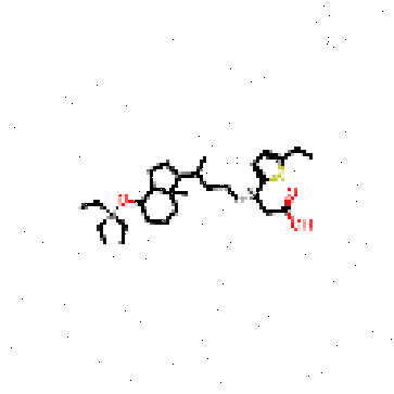 CCc1ccc([C@@H](CCCC(C)C2CCC3C(O[Si](CC)(CC)CC)CCCC23C)CC(=O)O)s1